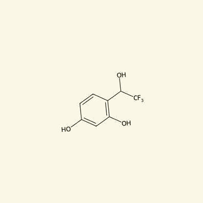 Oc1ccc(C(O)C(F)(F)F)c(O)c1